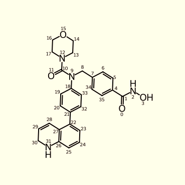 O=C(NO)c1ccc(CN(C(=O)N2CCOCC2)c2ccc(-c3cccc4c3C=CCN4)cc2)cc1